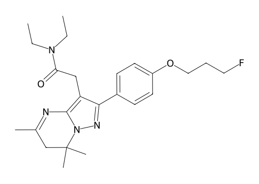 CCN(CC)C(=O)Cc1c(-c2ccc(OCCCF)cc2)nn2c1N=C(C)CC2(C)C